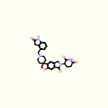 O=C1CCC(N2Cc3cc4c(cc3C2=O)OCC42CCN(Cc3cccc4c3CC(=O)N4)CC2)C(=O)N1